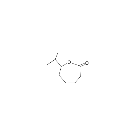 CC(C)C1CCCCC(=O)O1